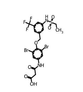 CCS(=O)(=O)Nc1cc(COc2c(Br)cc(NC(=O)CC(=O)O)cc2Br)cc(C(F)(F)F)c1